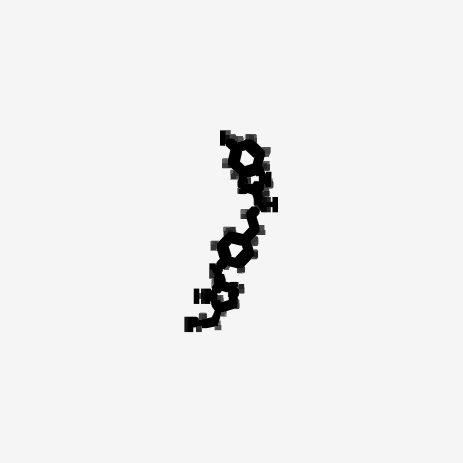 CC(C)C[C@@H]1CS/C(=N\c2ccc(CCNc3nc4ccc(F)cc4s3)cc2)N1